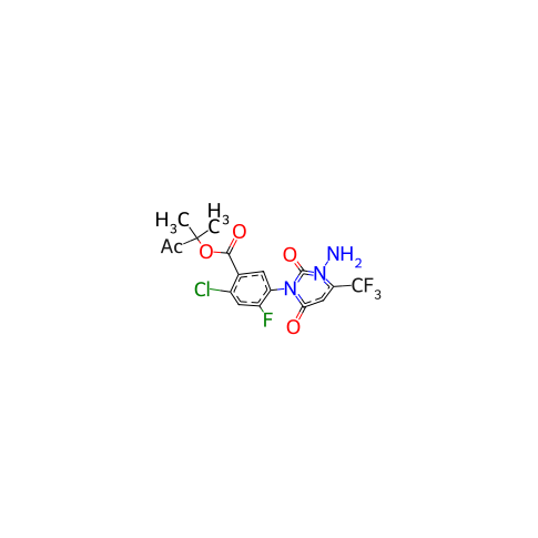 CC(=O)C(C)(C)OC(=O)c1cc(-n2c(=O)cc(C(F)(F)F)n(N)c2=O)c(F)cc1Cl